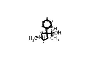 [CH2-][NH+]1CCC(c2ccccc2)(C(C)(C)O)C1